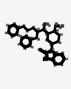 CC(C1CC(n2c(=O)[nH]c3ccccc32)CCN1C(=O)O)N(CCCc1ccccc1)Cc1ccccc1